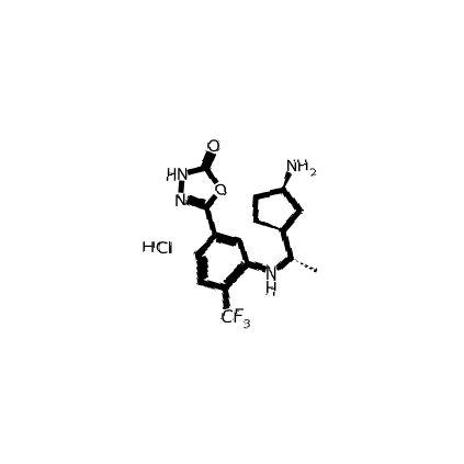 C[C@H](Nc1cc(-c2n[nH]c(=O)o2)ccc1C(F)(F)F)[C@H]1CC[C@@H](N)C1.Cl